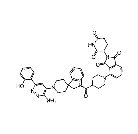 Nc1nnc(-c2ccccc2O)cc1N1CCC(CNC(=O)C2CCN(c3cccc4c3C(=O)N(C3CCC(=O)NC3=O)C4=O)CC2)(c2ccccc2)CC1